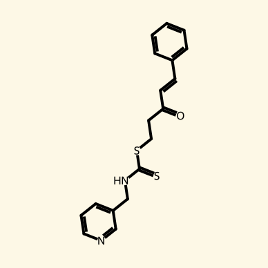 O=C(/C=C/c1ccccc1)CCSC(=S)NCc1cccnc1